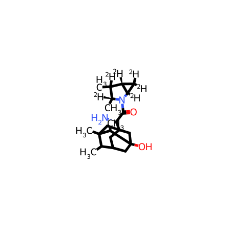 [2H]C1(C)[C@]2([2H])C([2H])([2H])[C@]2([2H])N(C(=O)[C@@H](N)C23CC4CC(O)(C2)C(C)C(C)(C3)C4C)[C@]1([2H])C